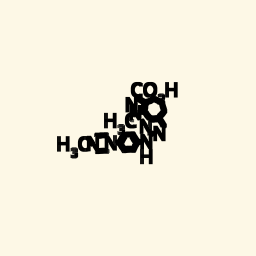 CN1CCN(c2ccc(Nc3ncc4c(n3)-c3c(c(C(=O)O)nn3C)CCC4)cc2)CC1